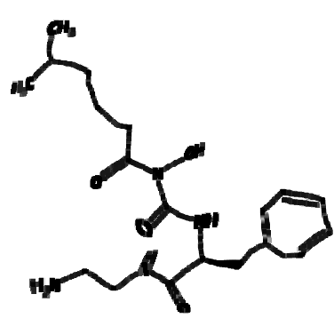 CC(C)CCCC(=O)N(O)C(=O)N[C@@H](Cc1ccccc1)C(=O)NCCN